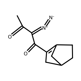 CC(=O)C(=[N+]=[N-])C(=O)C1=C2CCC(C2)C1